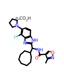 Cc1nocc1C(=O)NC(c1nc2c(F)c(N3CCC[C@@H]3C(=O)O)ccc2[nH]1)C1CCCCCCC1